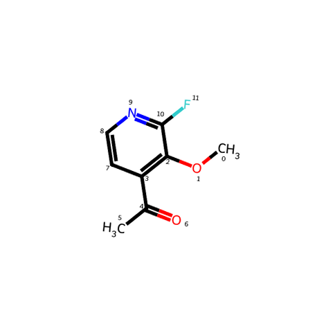 COc1c(C(C)=O)ccnc1F